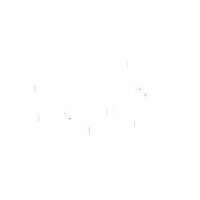 C=C(OC(=C)C(CC)N(C)C)C(CC)N(C)C